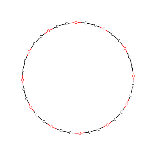 C1COCCOCCOCCOCCOCCOCCOCCOCCOCCOCCOCCO1